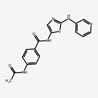 CC(=O)Nc1ccc(C(=O)Nc2cnc(Nc3cccnc3)s2)cc1